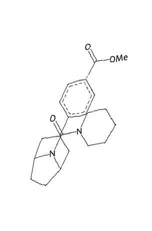 COC(=O)c1ccc(C2CC3CCC(C2)N3C(=O)N2CCCCC2)cc1